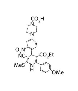 CCOC(=O)C1=C(c2ccc(OC)cc2)NC(SC)=C(C#N)C1c1ccc(N2CCN(C(=O)O)CC2)cc1[N+](=O)[O-]